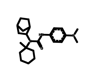 CN(C)c1ccc(NC(=O)N(C2CC3CCC2C3)C2(C)CCCCC2)cc1